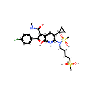 CNC(=O)c1c(-c2ccc(Cl)cc2)oc2nc(N(CCCCS(C)(=O)=O)S(C)(=O)=O)c(C3CC3)cc12